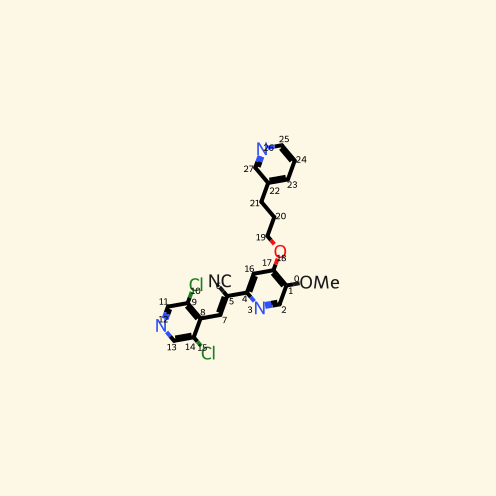 COc1cnc(/C(C#N)=C/c2c(Cl)cncc2Cl)cc1OCCCc1cccnc1